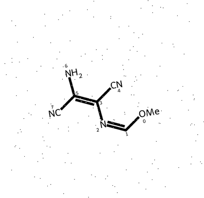 CO/C=N\C(C#N)=C(\N)C#N